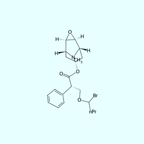 CCCC(Br)OC[C@@H](C(=O)O[C@@H]1C[C@@H]2[C@H]3O[C@H]3[C@H](C1)N2C)c1ccccc1